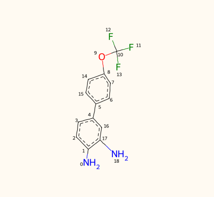 Nc1ccc(-c2ccc(OC(F)(F)F)cc2)cc1N